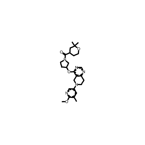 COc1ncc(N2CCc3ncnc(OC4CCN(C(=O)C5CCOC(C)(C)C5)C4)c3C2)cc1C